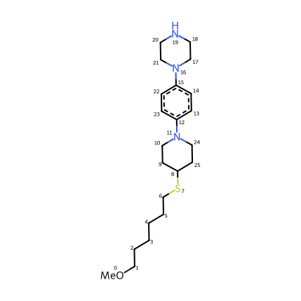 COCCCCCCSC1CCN(c2ccc(N3CCNCC3)cc2)CC1